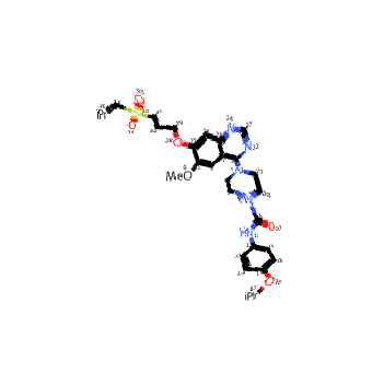 COc1cc2c(N3CCN(C(=O)Nc4ccc(OC(C)C)cc4)CC3)ncnc2cc1OCCCS(=O)(=O)CC(C)C